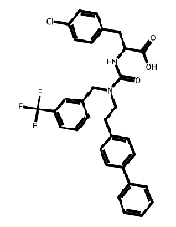 O=C(O)C(Cc1ccc(Cl)cc1)NC(=O)N(CCc1ccc(-c2ccccc2)cc1)Cc1cccc(C(F)(F)F)c1